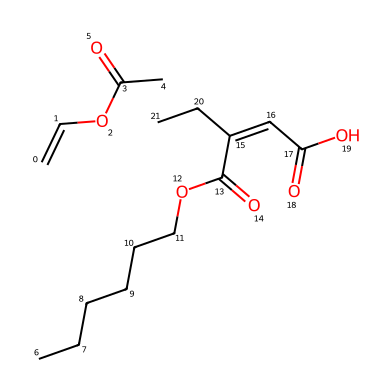 C=COC(C)=O.CCCCCCOC(=O)/C(=C\C(=O)O)CC